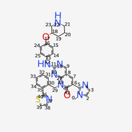 Cn1ccnc1-c1cc2cnc(Nc3ccc(OC4CCCNC4)cc3)nc2n(Cc2ccccc2-c2nccs2)c1=O